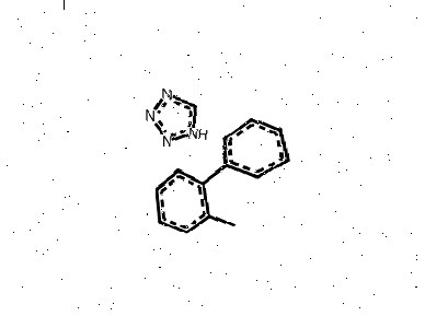 Cc1ccccc1-c1ccccc1.c1nnn[nH]1